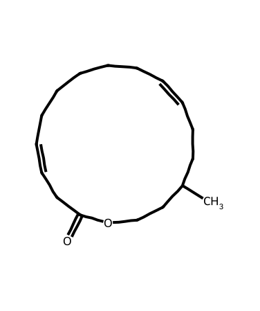 CC1CCC=CCCCCCC=CCC(=O)OCC1